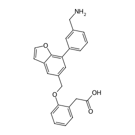 NCc1cccc(-c2cc(COc3ccccc3CC(=O)O)cc3ccoc23)c1